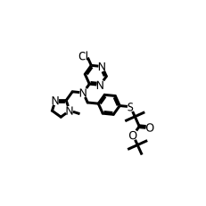 CN1CCN=C1CN(Cc1ccc(SC(C)(C)C(=O)OC(C)(C)C)cc1)c1cc(Cl)ncn1